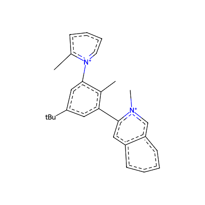 Cc1c(-c2cc3ccccc3c[n+]2C)cc(C(C)(C)C)cc1-[n+]1ccccc1C